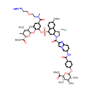 COC(=O)[C@H]1OC(Oc2ccc(C(=O)N(C)CCOCCN=[N+]=[N-])cc2OS(=O)(=O)c2cc3c(c4cc(OC)ccc24)[C@H](CCl)CN3C(=O)c2cn3cc(NC(=O)c4ccc(O[C@@H]5O[C@H](C(=O)OC)[C@@H](OC(C)=O)[C@H](OC(C)=O)[C@H]5OC(C)=O)cc4)ccc3n2)[C@H](OC(C)=O)[C@@H](OC(C)=O)[C@@H]1C